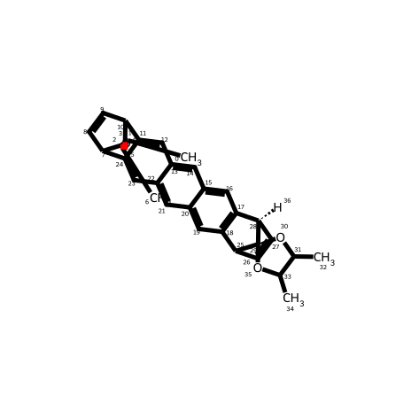 CC1O[C@]2(OC1C)C1C=CC2c2cc3cc4cc5c(cc4cc3cc21)C1C=C[C@H]5[C@@]12OC(C)C(C)O2